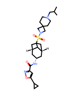 CC(C)CN1CCC2(CC1)CN(S(=O)(=O)C13C[C@H]4C[C@@H](NC(=O)c5cc(C6CC6)on5)C[C@@H](C1)C43)C2